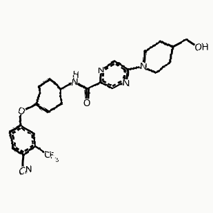 N#Cc1ccc(OC2CCC(NC(=O)c3cnc(N4CCC(CO)CC4)cn3)CC2)cc1C(F)(F)F